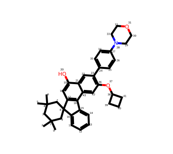 CC1(C)CC(C)(C)CC2(C1)c1ccccc1-c1c2cc(O)c2cc(-c3ccc(N4CCOCC4)cc3)c(OC3CCC3)cc12